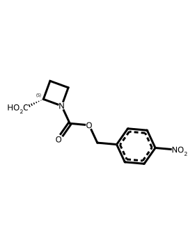 O=C(O)[C@@H]1CCN1C(=O)OCc1ccc([N+](=O)[O-])cc1